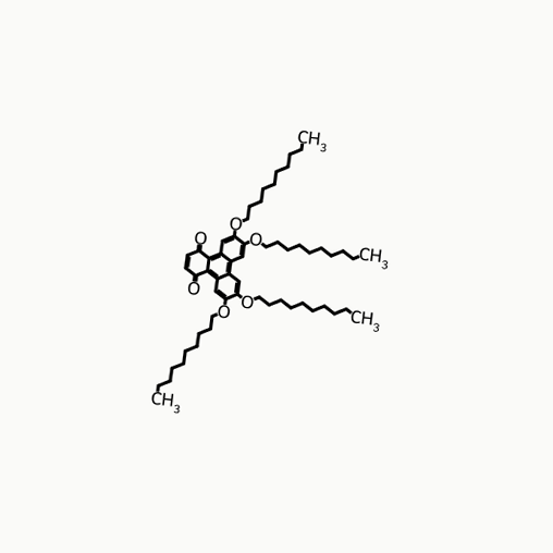 CCCCCCCCCCOc1cc2c3c(c4cc(OCCCCCCCCCC)c(OCCCCCCCCCC)cc4c2cc1OCCCCCCCCCC)C(=O)C=CC3=O